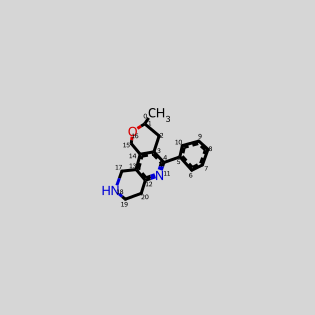 CC1Cc2c(-c3ccccc3)nc3c(c2CO1)CNCC3